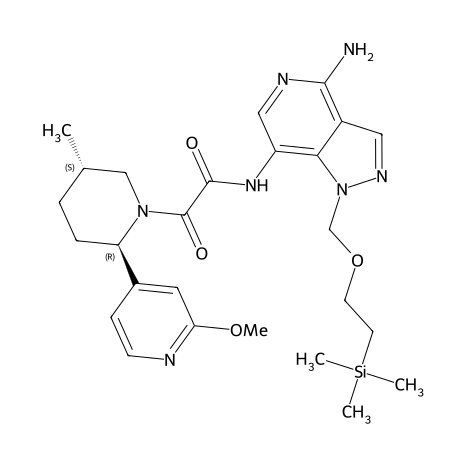 COc1cc([C@H]2CC[C@H](C)CN2C(=O)C(=O)Nc2cnc(N)c3cnn(COCC[Si](C)(C)C)c23)ccn1